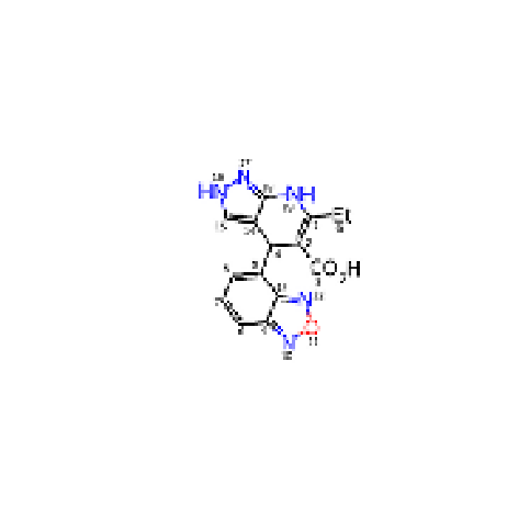 CCC1=C(C(=O)O)C(c2cccc3nonc23)c2c[nH]nc2N1